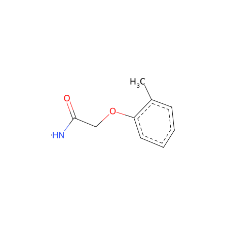 Cc1ccccc1OCC([NH])=O